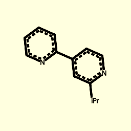 CC(C)c1cc(-c2ccccn2)ccn1